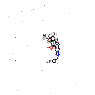 CCC(=O)[C@@]1(C)[C@@H](C)C[C@H]2[C@@H]3CCC4=Cc5nn(CC6CCC(CC)C6)cc5C[C@]4(C)[C@@]3(Cl)[C@@H](O)C[C@@]21C